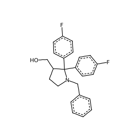 OCC1CCN(Cc2ccccc2)C1(c1ccc(F)cc1)c1ccc(F)cc1